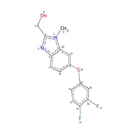 Cn1c(CO)nc2ccc(Oc3ccc(F)c(F)c3)cc21